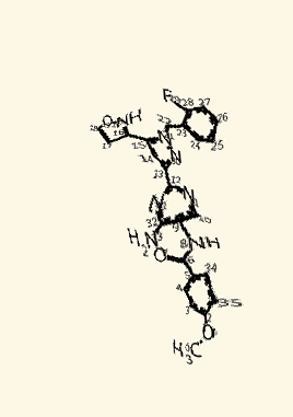 COc1ccc(C(=O)Nc2cnc(-c3cc(C4C=CON4)n(Cc4ccccc4F)n3)nc2N)cc1